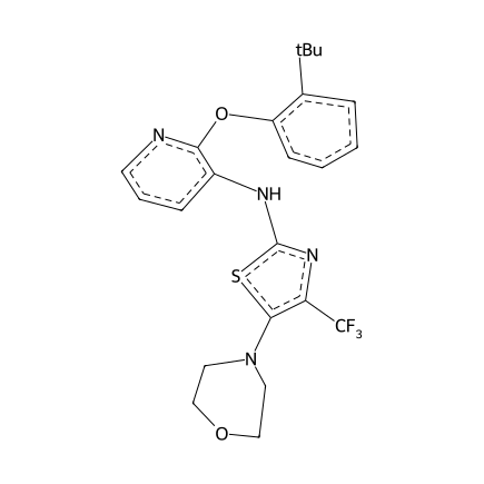 CC(C)(C)c1ccccc1Oc1ncccc1Nc1nc(C(F)(F)F)c(N2CCOCC2)s1